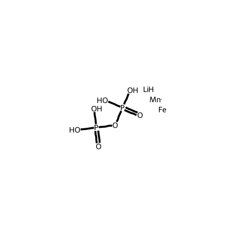 O=P(O)(O)OP(=O)(O)O.[Fe].[LiH].[Mn]